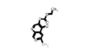 CCOC(=O)Oc1cnc2cnc(C)cc2c1Cl